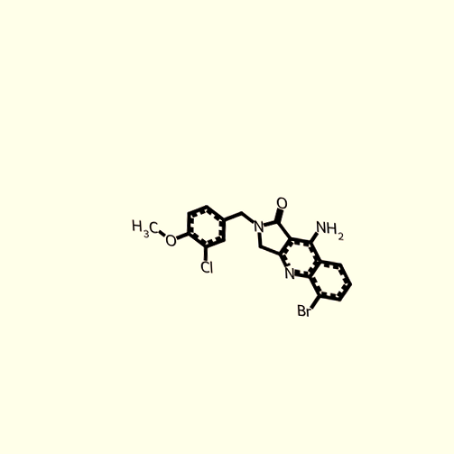 COc1ccc(CN2Cc3nc4c(Br)cccc4c(N)c3C2=O)cc1Cl